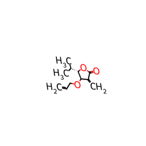 C=CCOC1C(=C)C(=O)O[C@H]1C(C)C